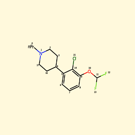 CCCN1CCC(c2cccc(OC(F)F)c2Cl)CC1